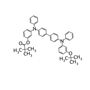 CC(C)(C)Oc1cccc(N(c2ccccc2)c2ccc(-c3ccc(N(c4ccccc4)c4cccc(OC(=O)C(C)(C)C)c4)cc3)cc2)c1